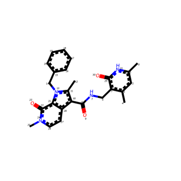 Cc1cc(C)c(CNC(=O)c2c(C)n(Cc3ccccc3)c3c(=O)n(C)ccc23)c(=O)[nH]1